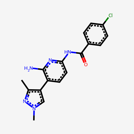 Cc1nn(C)cc1-c1ccc(NC(=O)c2ccc(Cl)cc2)nc1N